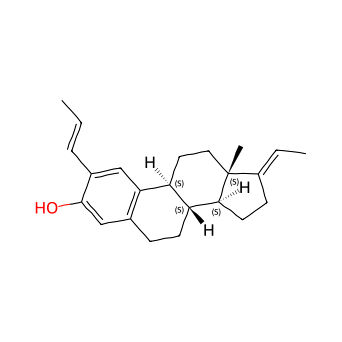 CC=Cc1cc2c(cc1O)CC[C@@H]1[C@@H]2CC[C@]2(C)C(=CC)CC[C@@H]12